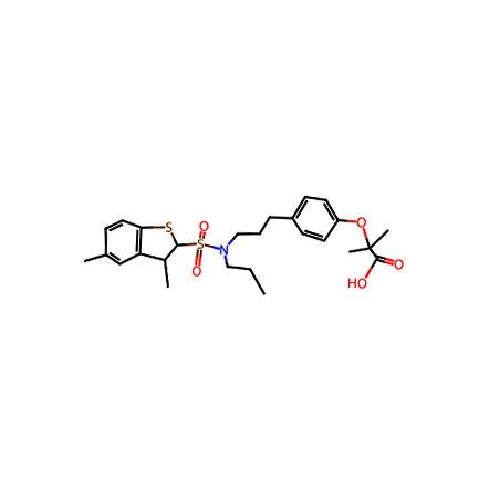 CCCN(CCCc1ccc(OC(C)(C)C(=O)O)cc1)S(=O)(=O)C1Sc2ccc(C)cc2C1C